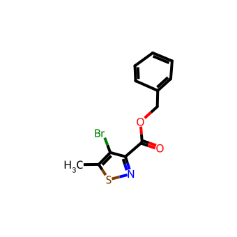 Cc1snc(C(=O)OCc2ccccc2)c1Br